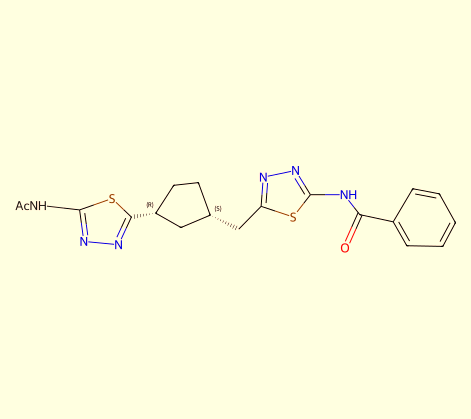 CC(=O)Nc1nnc([C@@H]2CC[C@H](Cc3nnc(NC(=O)c4ccccc4)s3)C2)s1